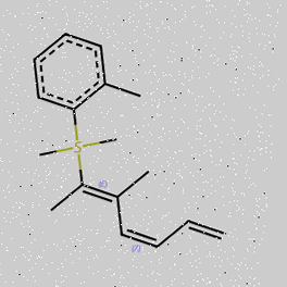 C=C/C=C\C(C)=C(/C)S(C)(C)c1ccccc1C